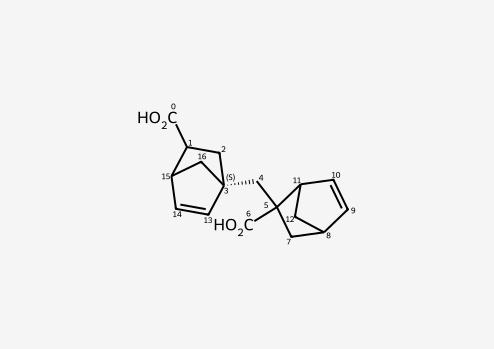 O=C(O)C1C[C@@]2(CC3(C(=O)O)CC4C=CC3C4)C=CC1C2